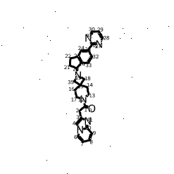 O=C(Cc1cn2ccccc2n1)N1CCC2(CC1)CN(C1CCc3cc(-c4ncccn4)ccc31)C2